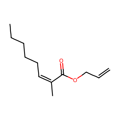 C=CCOC(=O)/C(C)=C\CCCCC